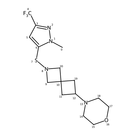 Cn1nc(C(F)(F)F)cc1SN1CC2(CC(N3CCOCC3)C2)C1